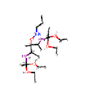 CCCNOC(C)(C(C)PC(C)(OCC)OCC)C(C)PC(C)(OCC)OCC